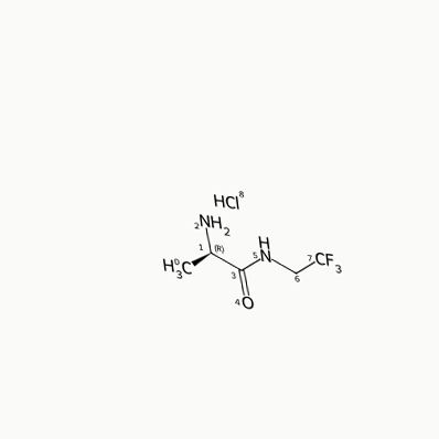 C[C@@H](N)C(=O)NCC(F)(F)F.Cl